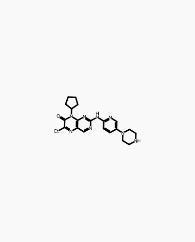 CCc1nc2cnc(Nc3ccc(N4CCNCC4)cn3)nc2n(C2CCCC2)c1=O